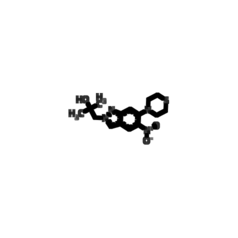 CC(C)(O)Cn1cc2cc([N+](=O)[O-])c(N3CCSCC3)cc2n1